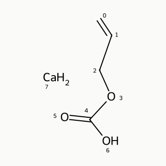 C=CCOC(=O)O.[CaH2]